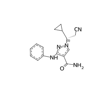 N#CC[C@@H](C1CC1)n1cc(C(N)=O)c(Nc2ccccc2)n1